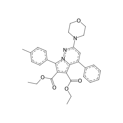 CCOC(=O)c1c(C(=O)OCC)c2c(-c3ccccc3)cc(N3CCOCC3)nn2c1-c1ccc(C)cc1